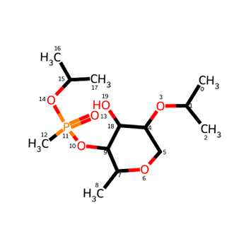 CC(C)OC1COC(C)C(OP(C)(=O)OC(C)C)C1O